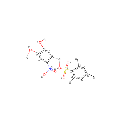 COc1cc(COS(=O)(=O)c2c(C)cc(C)cc2C)c([N+](=O)[O-])cc1OC